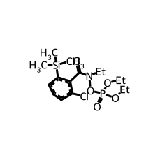 CCOP(=O)(OCC)ON(CC)C(=O)c1c(Cl)cccc1[Si](C)(C)C